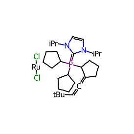 CC(C)n1ccn(C(C)C)c1=P(C1CCCC1)(C1CCCC1)C1CCCC1=C=CC(C)(C)C.[Cl][Ru][Cl]